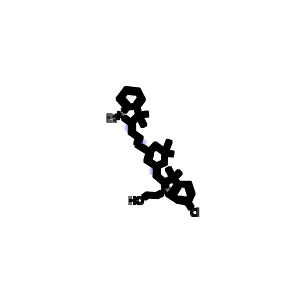 CCN1/C(=C/C=C/C2=CC(=C/C3=[N+](CCO)c4cc(Cl)ccc4C3(C)C)/CC(C)(C)C2)C(C)(C)c2ccccc21